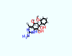 COc1ccccc1C1(O)CC(=O)C2=C(C)N=C(N)NC2=C1O